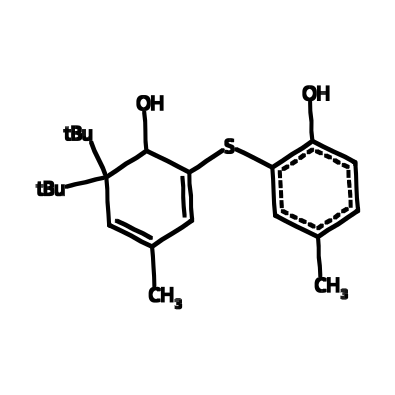 CC1=CC(C(C)(C)C)(C(C)(C)C)C(O)C(Sc2cc(C)ccc2O)=C1